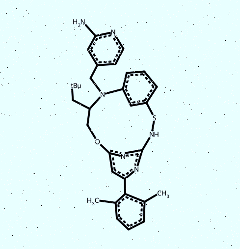 Cc1cccc(C)c1-c1cc2nc(n1)NSc1cccc(c1)N(Cc1ccnc(N)c1)C(CC(C)(C)C)CO2